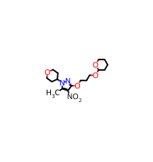 Cc1c([N+](=O)[O-])c(OCCCOC2CCCCO2)nn1C1CCOCC1